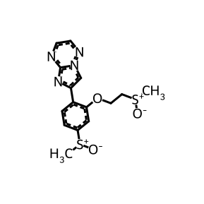 C[S+]([O-])CCOc1cc([S+](C)[O-])ccc1-c1cn2nccnc2n1